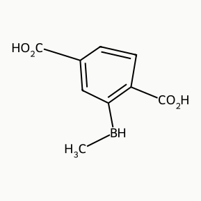 CBc1cc(C(=O)O)ccc1C(=O)O